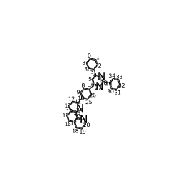 c1ccc(-c2cc(-c3ccc(-c4ccc5ccc6cccnc6c5n4)cc3)nc(-c3ccccc3)n2)cc1